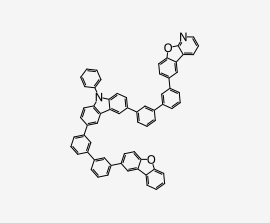 c1ccc(-n2c3ccc(-c4cccc(-c5cccc(-c6ccc7oc8ccccc8c7c6)c5)c4)cc3c3cc(-c4cccc(-c5cccc(-c6ccc7oc8ncccc8c7c6)c5)c4)ccc32)cc1